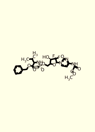 COOC(=O)Nc1ccn(C2OC(COP(=O)(O)NC(C(=O)OCc3ccccc3)C(C)C)[C@@H](O)C2(F)F)c(=O)n1